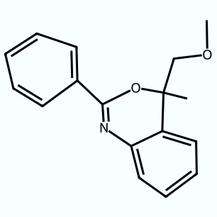 COCC1(C)OC(c2ccccc2)=Nc2ccccc21